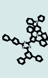 c1ccc(-c2ccc(-c3nc(-c4cc(-c5ccccc5)cc(-c5ccccc5)c4)nc(-c4cc(-c5ccccc5)c(-n5c6ccccc6c6cc7c(cc65)c5ccccc5n7-c5ccccc5)c(-c5ccccc5)c4)n3)cc2)cc1